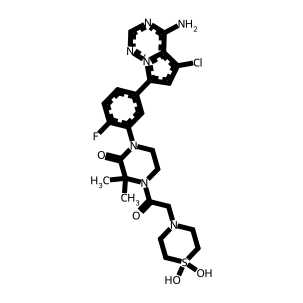 CC1(C)C(=O)N(c2cc(-c3cc(Cl)c4c(N)ncnn34)ccc2F)CCN1C(=O)CN1CCS(O)(O)CC1